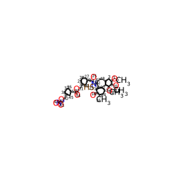 COc1cc2c(c(OC)c1OC)-c1ccc(C)c(=O)cc1[C@@H](N(S)C(=O)c1cccc(COC(=O)c3cccc(CO[N+](=O)[O-])c3)c1)CC2